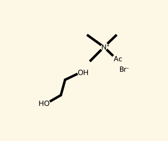 CC(=O)[N+](C)(C)C.OCCO.[Br-]